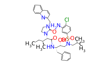 CC[C@H](C)[C@@H](C(=O)N[C@@H](Cc1ccccc1)[C@H](O)CN(CC(C)C)S(=O)(=O)c1ccc(Cl)c(N)c1)N1CCN(Cc2ccc3ccccc3n2)C1=O